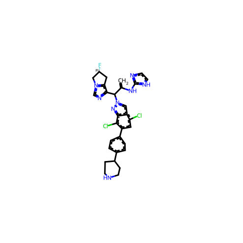 C=C(Nc1ncc[nH]1)C(c1ncn2c1C[C@@H](F)C2)n1cc2c(Cl)cc(-c3ccc(C4CCNCC4)cc3)c(Cl)c2n1